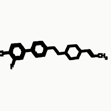 CC=CC1CCC(CCc2ccc(-c3ccc(Cl)c(F)c3)cc2)CC1